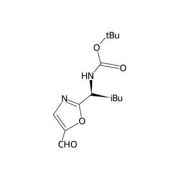 CC[C@H](C)[C@H](NC(=O)OC(C)(C)C)c1ncc(C=O)o1